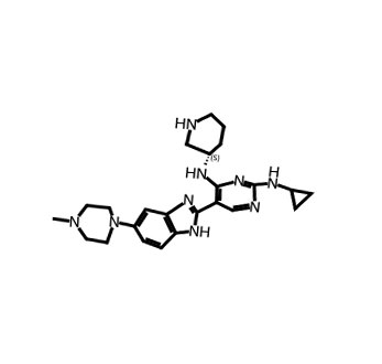 CN1CCN(c2ccc3[nH]c(-c4cnc(NC5CC5)nc4N[C@H]4CCCNC4)nc3c2)CC1